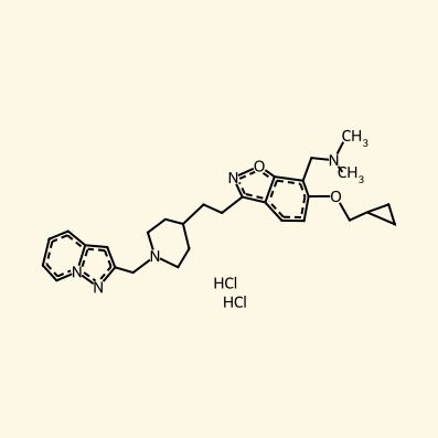 CN(C)Cc1c(OCC2CC2)ccc2c(CCC3CCN(Cc4cc5ccccn5n4)CC3)noc12.Cl.Cl